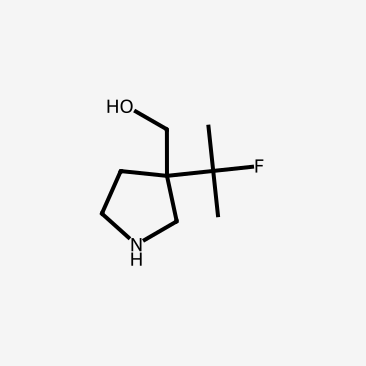 CC(C)(F)C1(CO)CCNC1